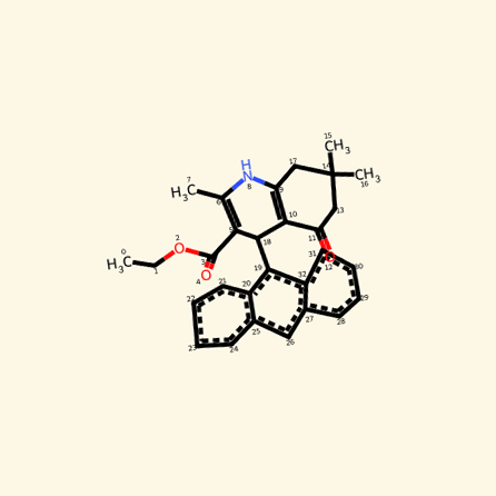 CCOC(=O)C1=C(C)NC2=C(C(=O)CC(C)(C)C2)C1c1c2ccccc2cc2ccccc12